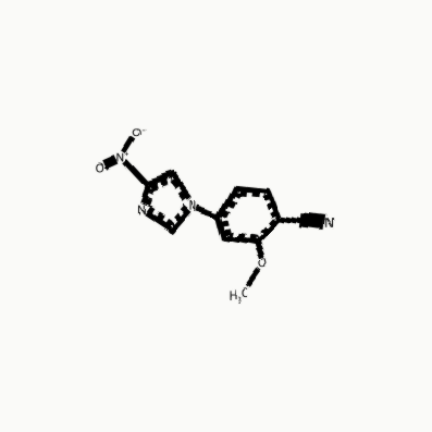 COc1cc(-n2cnc([N+](=O)[O-])c2)ccc1C#N